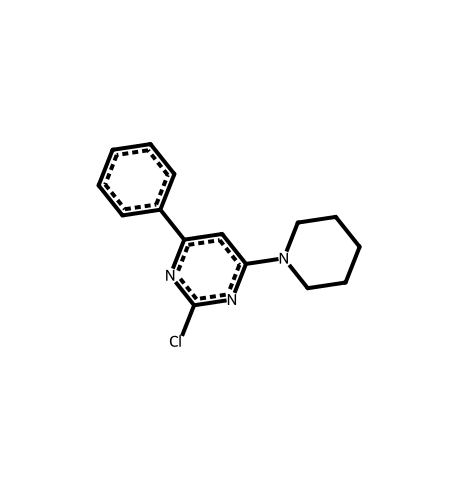 Clc1nc(-c2ccccc2)cc(N2CCCCC2)n1